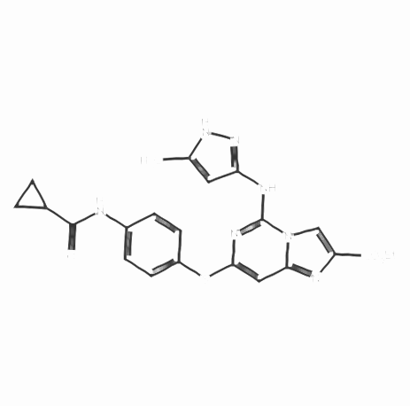 CCOC(=O)c1cn2c(Nc3cc(C)[nH]n3)nc(Sc3ccc(NC(=O)C4CC4)cc3)cc2n1